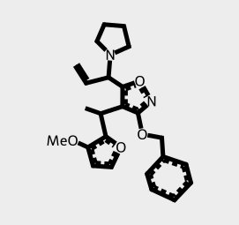 C=CC(c1onc(OCc2ccccc2)c1C(C)c1occc1OC)N1CCCC1